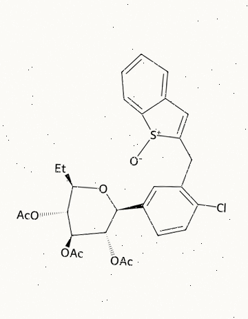 CC[C@H]1O[C@@H](c2ccc(Cl)c(Cc3cc4ccccc4[s+]3[O-])c2)[C@H](OC(C)=O)[C@@H](OC(C)=O)[C@@H]1OC(C)=O